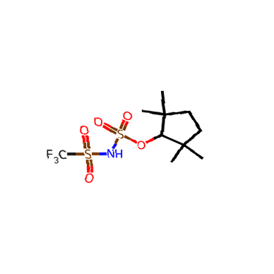 CC1(C)CCC(C)(C)C1OS(=O)(=O)NS(=O)(=O)C(F)(F)F